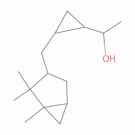 CC(O)C1CC1CC1CC2CC2(C)C1(C)C